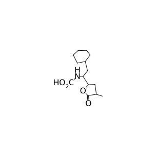 CC1CC(C(CC2CCCCC2)NC(=O)O)OC1=O